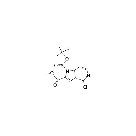 COC(=O)c1cc2c(Cl)nccc2n1C(=O)OC(C)(C)C